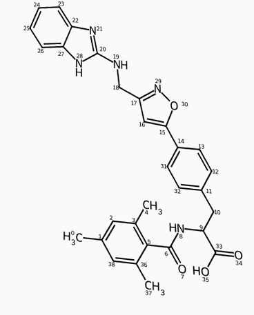 Cc1cc(C)c(C(=O)NC(Cc2ccc(-c3cc(CNc4nc5ccccc5[nH]4)no3)cc2)C(=O)O)c(C)c1